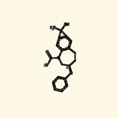 CC(C)C(=O)N1C[C@H](Oc2ccccc2)CCc2cc3c(cc21)C3(O)C(F)(F)F